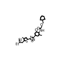 CCN(CC)Cc1sc(-c2nc(-c3cc(C)c(NC(=O)COCc4ccccc4)c(Cl)c3)no2)cc1C